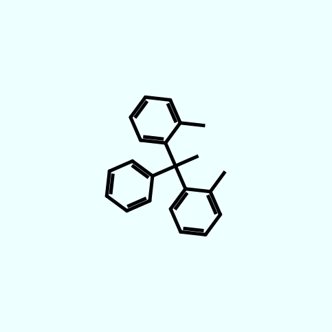 Cc1ccccc1C(C)(c1ccccc1)c1ccccc1C